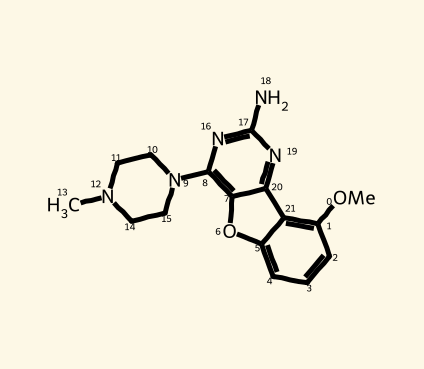 COc1cccc2oc3c(N4CCN(C)CC4)nc(N)nc3c12